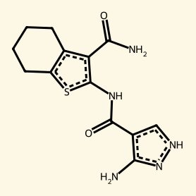 NC(=O)c1c(NC(=O)c2c[nH]nc2N)sc2c1CCCC2